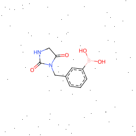 O=C1CNC(=O)N1Cc1cccc(B(O)O)c1